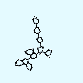 c1cncc(-c2cc(-c3ccc(-c4ccc(-c5ccncc5)cc4)cc3)nc(-c3ccc(-c4cc5ccccc5c5ccccc45)c4ccccc34)n2)c1